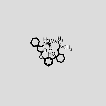 COC(=O)NCC1(CC(=O)Oc2cccc(C3(O)CCCCC3CN(C)C)c2)CCCCC1